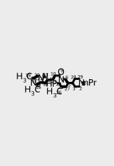 CCCN1CCC(C2=CN3C(=O)C=C(c4cc5c(C)nc(C)cn5n4)PC3C(C)=C2)CC1